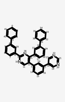 c1ccc(-c2cccc(-c3ncc(-c4cccc(-c5cncnc5)c4)c(-c4cccc(-c5ccccc5)c4)n3)c2)cc1